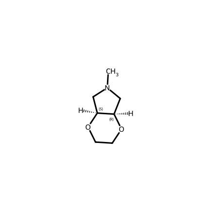 CN1C[C@@H]2OCCO[C@@H]2C1